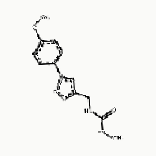 CNC(=O)NCc1cn(-c2ccc(OC)cc2)nn1